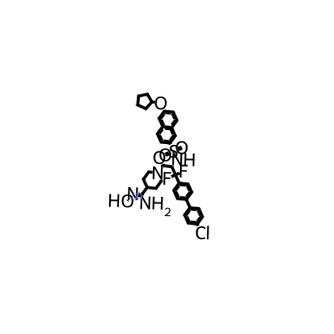 N/C(=N\O)C1CCN(C(=O)C(NS(=O)(=O)c2ccc3cc(OC4CCCC4)ccc3c2)C(F)(F)c2ccc(-c3ccc(Cl)cc3)cc2)CC1